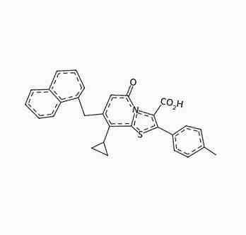 Cc1ccc(-c2sc3c(C4CC4)c(Cc4cccc5ccccc45)cc(=O)n3c2C(=O)O)cc1